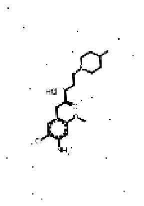 COc1cc(N)c(Cl)cc1CC(=O)CCCN1CCC(C)CC1.Cl